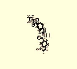 Cn1ccc2ccc(C(=O)Nc3nc4ccc(S(=O)(=O)N5CCC5)cc4s3)cc21